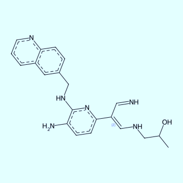 CC(O)CN/C=C(\C=N)c1ccc(N)c(NCc2ccc3ncccc3c2)n1